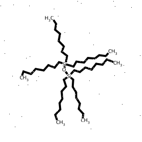 CCCCCCCC[Si](CCCCCCCC)(CCCCCCCC)O[Si](CCCCCCCC)(CCCCCCCC)CCCCCCCC